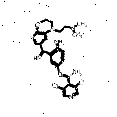 CN(C)CCN1CCOc2ncc(C(=N)c3cc(O[C@H](N)c4c(Cl)cncc4Cl)ccc3N)cc21